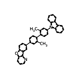 Cc1cc(-c2ccc3oc4cccnc4c3c2)ccc1-c1ccc(-n2c3ccccc3c3ccccc32)cc1C